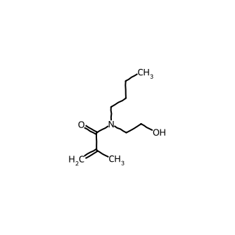 C=C(C)C(=O)N(CCO)CCCC